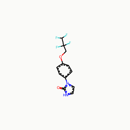 O=c1[nH]ccn1-c1ccc(OCC(F)(F)C(F)F)cc1